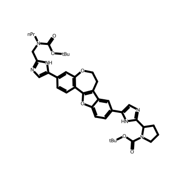 CCCN(Cc1ncc(-c2ccc3c(c2)OCCc2c-3oc3ccc(-c4cnc(C5CCCN5C(=O)OC(C)(C)C)[nH]4)cc23)[nH]1)C(=O)OC(C)(C)C